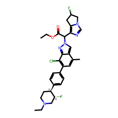 CCOC(=O)C(c1ncn2c1CC(F)C2)n1cc2c(C)cc(-c3ccc([C@@H]4CCN(CC)C[C@H]4F)cc3)c(Cl)c2n1